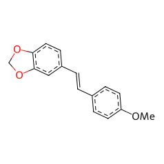 COc1ccc(C=Cc2ccc3c(c2)OCO3)cc1